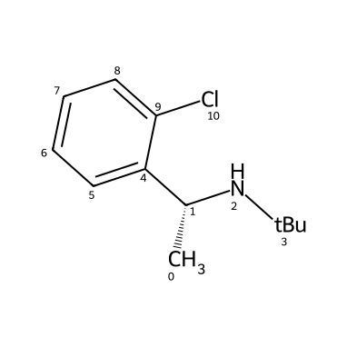 C[C@@H](NC(C)(C)C)c1ccccc1Cl